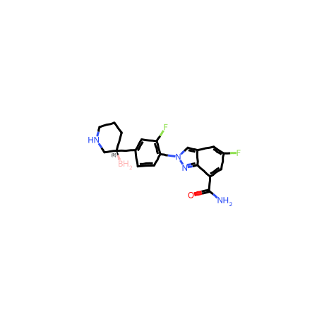 B[C@]1(c2ccc(-n3cc4cc(F)cc(C(N)=O)c4n3)c(F)c2)CCCNC1